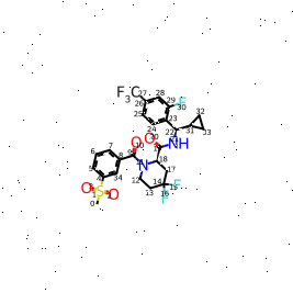 CS(=O)(=O)c1cccc(C(=O)N2CCC(F)(F)C[C@@H]2C(=O)N[C@@H](c2ccc(C(F)(F)F)cc2F)C2CC2)c1